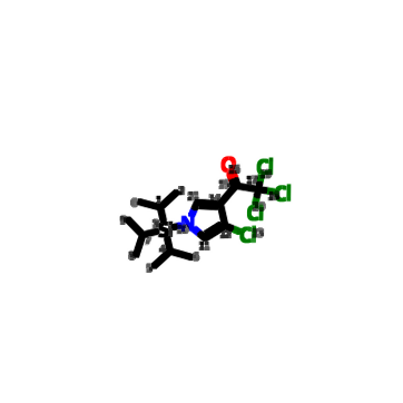 CC(C)[Si](C(C)C)(C(C)C)n1cc(Cl)c(C(=O)C(Cl)(Cl)Cl)c1